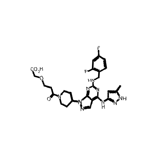 Cc1cc(Nc2nc(NCc3ccc(F)cc3F)nc3c2cnn3C2CCN(C(=O)CCOCC(=O)O)CC2)n[nH]1